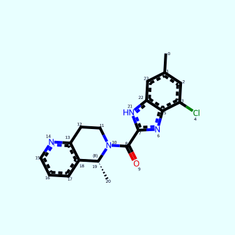 Cc1cc(Cl)c2nc(C(=O)N3CCc4ncccc4[C@H]3C)[nH]c2c1